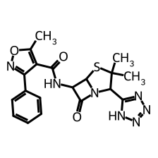 Cc1onc(-c2ccccc2)c1C(=O)NC1C(=O)N2C1SC(C)(C)C2c1nnn[nH]1